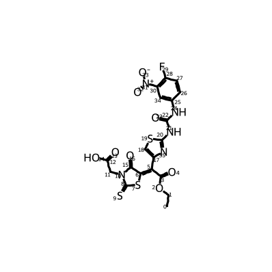 CCOC(=O)/C(=C1\SC(=S)N(CC(=O)O)C1=O)c1csc(NC(=O)Nc2ccc(F)c([N+](=O)[O-])c2)n1